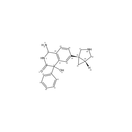 NC1NC(=O)C(O)(c2ccccc2)c2cc([C@@]34CNC[C@@H]3C4)ccc21